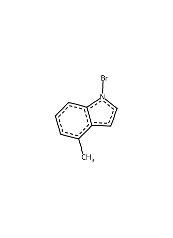 Cc1cccc2c1ccn2Br